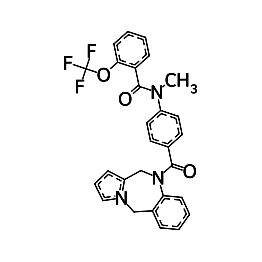 CN(C(=O)c1ccccc1OC(F)(F)F)c1ccc(C(=O)N2Cc3cccn3Cc3ccccc32)cc1